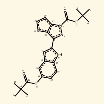 CC(C)(C)OC(=O)n1nc(-c2cc3cc(OC(=O)C(C)(C)C)ccc3[nH]2)c2sccc21